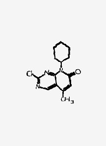 Cc1cc(=O)n(C2CCCCC2)c2nc(Cl)ncc12